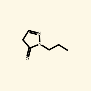 CCCN1N=CCC1=O